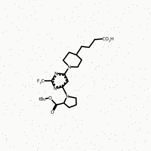 CC(C)(C)OC(=O)C1CCCN1c1cc(N2CCC(CCCC(=O)O)CC2)nc(C(F)(F)F)n1